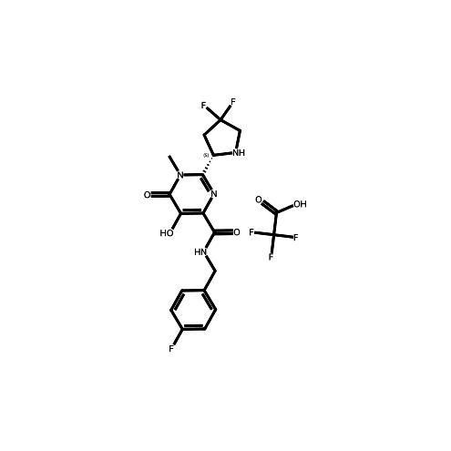 Cn1c([C@@H]2CC(F)(F)CN2)nc(C(=O)NCc2ccc(F)cc2)c(O)c1=O.O=C(O)C(F)(F)F